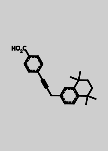 CC1(C)CCC(C)(C)c2cc(CC#Cc3ccc(C(=O)O)cc3)ccc21